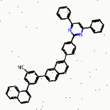 N#Cc1cc(-c2ccc3ccc(-c4ccc(-c5nc(-c6ccccc6)cc(-c6ccccc6)n5)cc4)cc3c2)cc(-c2cccc3ccccc23)c1